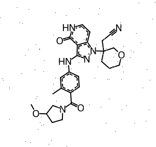 COC1CCN(C(=O)c2ccc(Nc3nn(C4(CC#N)CCCOC4)c4cc[nH]c(=O)c34)cc2C)C1